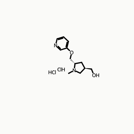 CN1C[C@H](CO)C[C@H]1COc1cccnc1.Cl.Cl